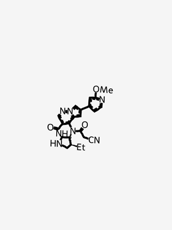 CC[C@H]1CNC[C@H]1N(C(=O)CC#N)c1c(C(N)=O)cnn2cc(-c3ccnc(OC)c3)cc12